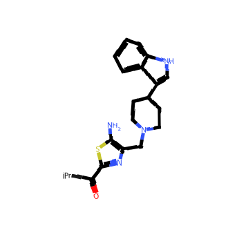 CC(C)C(=O)c1nc(CN2CCC(c3c[nH]c4ccccc34)CC2)c(N)s1